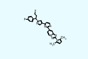 Cc1ccc(C)n1-c1nc2cc(-c3nccc(-c4cnn(C(CCF)c5ccc(F)cc5)c4)n3)ccn2n1